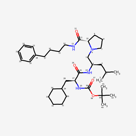 CC(C)C[C@H](CN1CCC[C@H]1C(=O)NCCCCc1ccccc1)NC(=O)[C@H](CC1CCCCC1)NC(=O)OC(C)(C)C